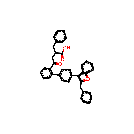 O=C(CC(Cc1ccccc1)C(=O)O)c1ccccc1-c1ccc(-c2c(Cc3ccccc3)oc3ccccc23)cc1